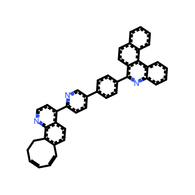 C1=C\CCc2c(ccc3c(-c4ccc(-c5ccc(-c6nc7ccccc7c7c6ccc6ccccc67)cc5)cn4)ccnc23)\C=C/1